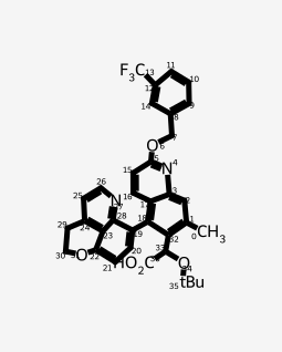 Cc1cc2nc(OCc3cccc(C(F)(F)F)c3)ccc2c(-c2ccc3c4c(ccnc24)CCO3)c1C(OC(C)(C)C)C(=O)O